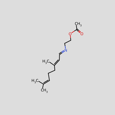 CC(=O)OCC/N=C/C=C(\C)CCC=C(C)C